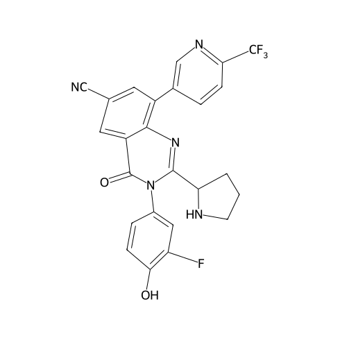 N#Cc1cc(-c2ccc(C(F)(F)F)nc2)c2nc(C3CCCN3)n(-c3ccc(O)c(F)c3)c(=O)c2c1